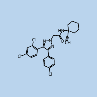 C#CC1(NC(=O)Cn2nc(-c3ccc(Cl)cc3)c(-c3ccc(Cl)cc3Cl)n2)CCCCC1